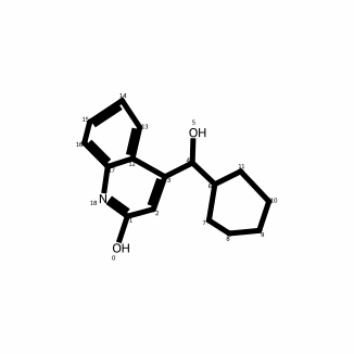 Oc1cc(C(O)C2CCCCC2)c2ccccc2n1